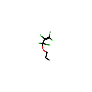 CCCOC(F)(F)C(F)=C(F)F